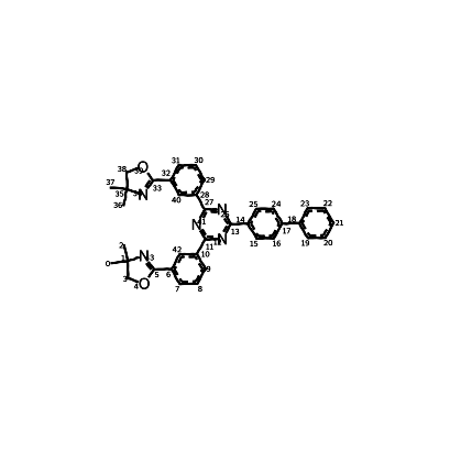 CC1(C)COC(c2cccc(-c3nc(-c4ccc(-c5ccccc5)cc4)nc(-c4cccc(C5=NC(C)(C)CO5)c4)n3)c2)=N1